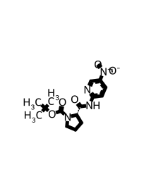 CC(C)(C)OC(=O)N1CCC[C@H]1C(=O)Nc1ccc([N+](=O)[O-])cn1